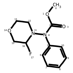 COC(=O)N(c1ccccc1)N1CCOCC1F